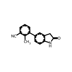 Cc1c(C#N)cccc1-c1ccc2c(c1)CC(=O)N2